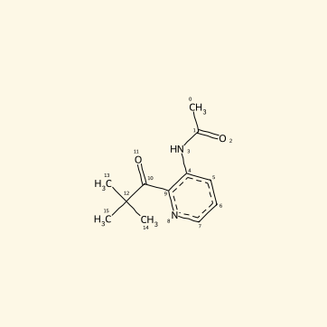 CC(=O)Nc1cccnc1C(=O)C(C)(C)C